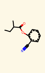 CCC(C)C(=O)Oc1ccccc1C#N